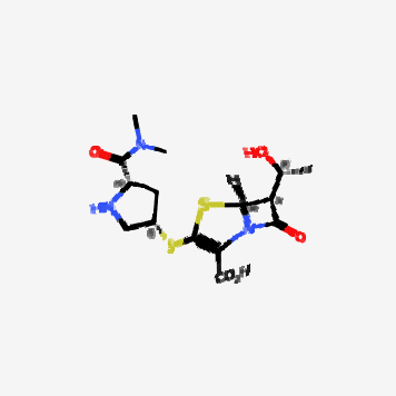 C[C@@H](O)[C@H]1C(=O)N2C(C(=O)O)=C(S[C@@H]3CN[C@H](C(=O)N(C)C)C3)S[C@H]12